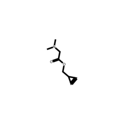 CN(C)CC(=O)OCC1C#C1